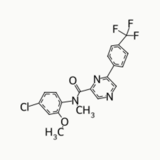 COc1cc(Cl)ccc1N(C)C(=O)c1cncc(-c2ccc(C(F)(F)F)cc2)n1